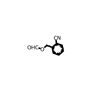 N#Cc1ccccc1[CH]OC=O